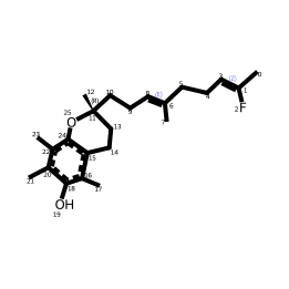 C/C(F)=C/CC/C(C)=C/CC[C@]1(C)CCc2c(C)c(O)c(C)c(C)c2O1